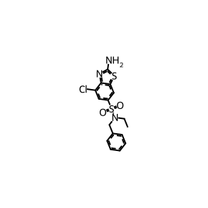 CCN(Cc1ccccc1)S(=O)(=O)c1cc(Cl)c2nc(N)sc2c1